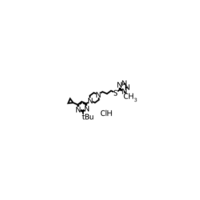 Cl.Cn1nnnc1SCCCN1CCN(c2cc(C3CC3)nc(C(C)(C)C)n2)CC1